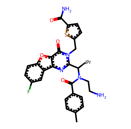 Cc1ccc(C(=O)N(CCN)C(c2nc3c(oc4ccc(F)cc43)c(=O)n2Cc2ccc(C(N)=O)s2)C(C)C)cc1